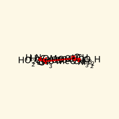 COc1c(C)c(C(=O)c2ccc(N)c(C(=O)O)c2C)n2cccc(OCCOCCOCCOCCOCCOCCOCCOc3cccn4c(C(=O)c5ccc(N)c(C(=O)O)c5C)c(C)c(OC)c34)c12